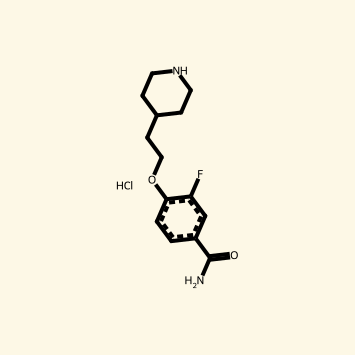 Cl.NC(=O)c1ccc(OCCC2CCNCC2)c(F)c1